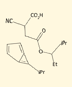 CC(C)c1c2cccc1-2.CCC(OC(=O)CC(C#N)C(=O)O)C(C)C